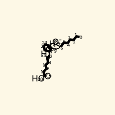 CCCCCCC[S+]([O-])C[C@H]1[C@@H](CCCCCCC(=O)O)[C@H]2CC[C@@H]1S2